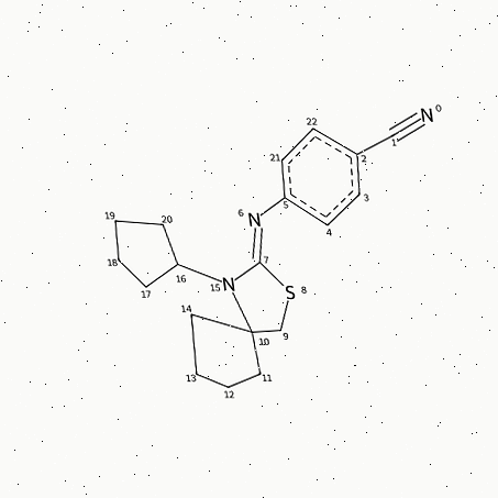 N#Cc1ccc(N=C2SCC3(CCCC3)N2C2CCCC2)cc1